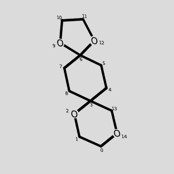 C1COC2(CCC3(CC2)OCCO3)CO1